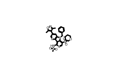 Cc1noc(C)c1-c1cnc2c3c(NS(C)(=O)=O)ncc(S(C)(=O)=O)c3n([C@H](c3ccccc3)C3CCOCC3)c2c1